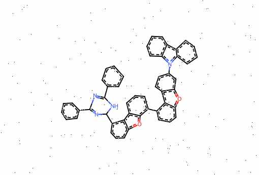 c1ccc(C2=NC(c3cccc4oc5c(-c6cccc7oc8cc(-n9c%10ccccc%10c%10ccccc%109)ccc8c67)cccc5c34)NC(c3ccccc3)=N2)cc1